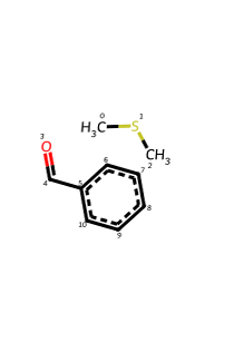 CSC.O=Cc1ccccc1